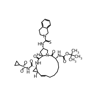 CC(C)(C)OC(=O)N[C@H]1CCCCC/C=C/[C@@H]2C[C@@]2(C(=O)NS(=O)(=O)C2CC2)NC(=O)[C@@H]2C[C@@H](NC(=S)N3CCc4ccccc4C3)CN2C1=O